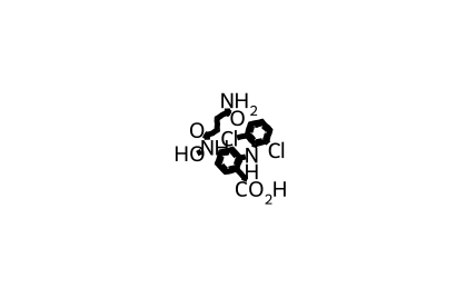 NC(=O)CCC(=O)NO.O=C(O)Cc1ccccc1Nc1c(Cl)cccc1Cl